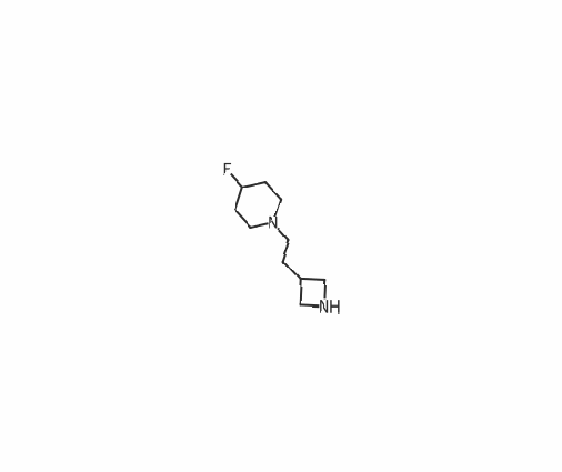 FC1CCN(CCC2CNC2)CC1